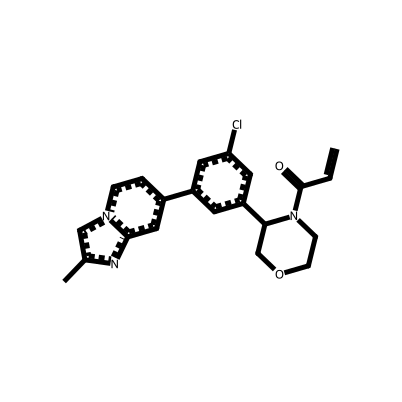 C=CC(=O)N1CCOCC1c1cc(Cl)cc(-c2ccn3cc(C)nc3c2)c1